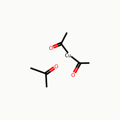 CC(C)=O.C[C](=O)[Cu][C](C)=O